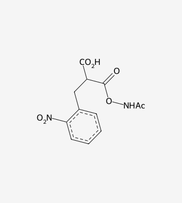 CC(=O)NOC(=O)C(Cc1ccccc1[N+](=O)[O-])C(=O)O